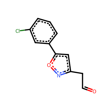 O=CCc1cc(-c2cccc(Cl)c2)on1